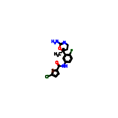 C[C@@]1(c2cc(NC(=O)c3ccc(Cl)s3)ccc2F)CCN=C(N)O1